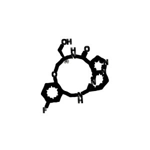 O=C1N[C@H](CO)COc2ccc(F)cc2CNc2ccn3ncc1c3n2